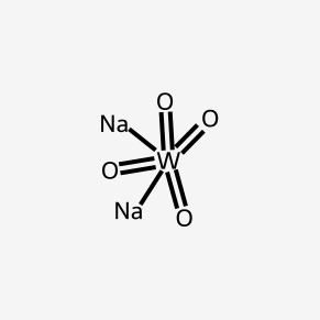 [O]=[W](=[O])(=[O])(=[O])([Na])[Na]